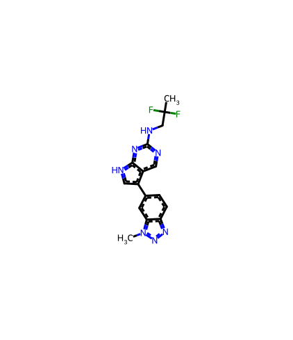 Cn1nnc2ccc(-c3c[nH]c4nc(NCC(C)(F)F)ncc34)cc21